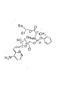 CCC(CC)COC(=O)[C@H](C)NP(=O)(OC[C@@]1(CCl)O[C@@H](c2ccc3c(N)ccnn23)[C@H](O)[C@@H]1O)Oc1ccccc1